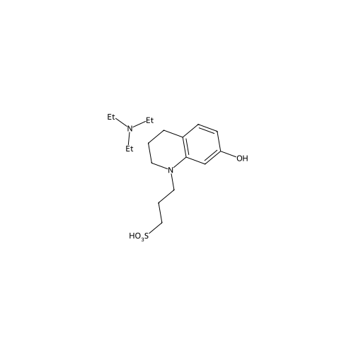 CCN(CC)CC.O=S(=O)(O)CCCN1CCCc2ccc(O)cc21